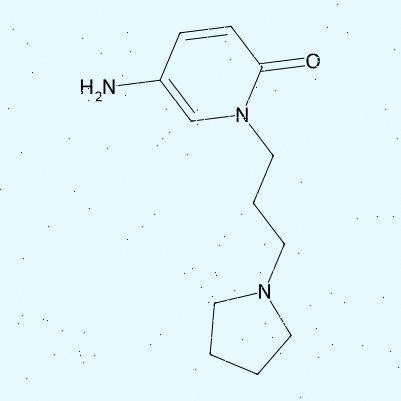 Nc1ccc(=O)n(CCCN2CCCC2)c1